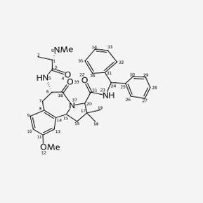 CN[C@@H](C)C(=O)N[C@H]1Cc2ccc(OC)cc2C2CC(C)(C)C(C(=O)NC(c3ccccc3)c3ccccc3)N2C1=O